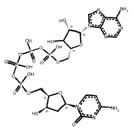 Nc1ccn([C@H]2C[C@@H](O)[C@@H](COP(=O)(O)OP(=O)(O)OP(=O)(O)OP(=O)(O)OC[C@H]3O[C@@H](n4cnc5c(N)ncnc54)[C@@H](O)C3O)O2)c(=O)n1